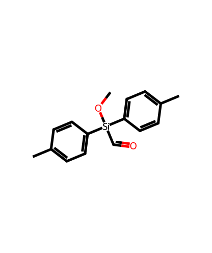 CO[Si](C=O)(c1ccc(C)cc1)c1ccc(C)cc1